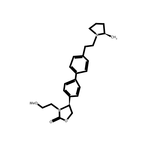 COCCN1C(=O)OC[C@@H]1c1ccc(-c2ccc(CCN3CCC[C@H]3C)cc2)cc1